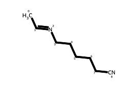 CC=NCCCCCC#N